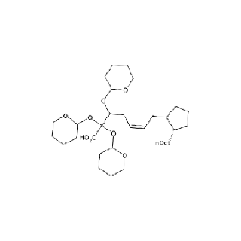 CCCCCCCC[C@H]1CCC[C@@H]1C/C=C\CC(OC1CCCCO1)C(OC1CCCCO1)(OC1CCCCO1)C(=O)O